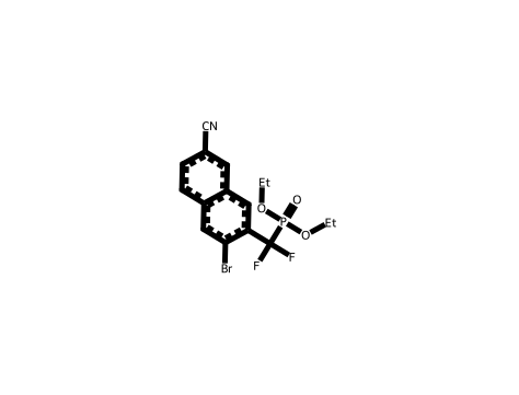 CCOP(=O)(OCC)C(F)(F)c1cc2cc(C#N)ccc2cc1Br